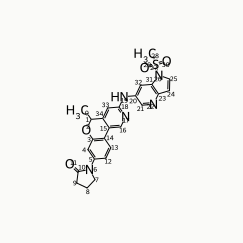 CC1Oc2cc(N3CCCC3=O)ccc2-c2cnc(Nc3cnc4ccn(S(C)(=O)=O)c4c3)cc21